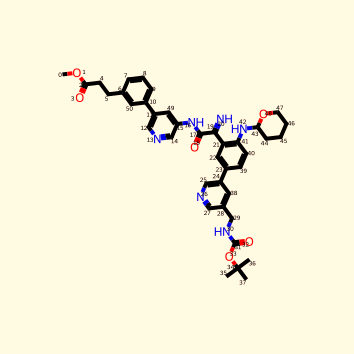 COC(=O)CCc1cccc(-c2cncc(NC(=O)C(=N)c3cc(-c4cncc(CNC(=O)OC(C)(C)C)c4)ccc3NC3CCCCO3)c2)c1